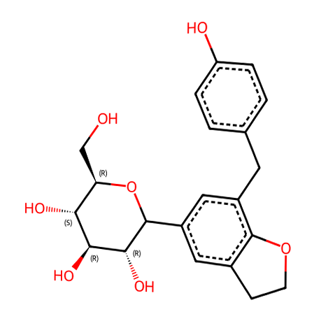 OC[C@H]1OC(c2cc3c(c(Cc4ccc(O)cc4)c2)OCC3)[C@H](O)[C@@H](O)[C@@H]1O